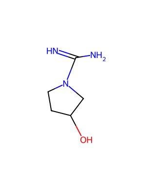 N=C(N)N1CCC(O)C1